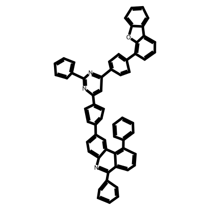 c1ccc(-c2nc(-c3ccc(-c4ccc5nc(-c6ccccc6)c6cccc(-c7ccccc7)c6c5c4)cc3)cc(-c3ccc(-c4cccc5c4oc4ccccc45)cc3)n2)cc1